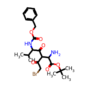 CC(C)C(NC(=O)OCc1ccccc1)C(=O)C(C(=O)CBr)C(N)C(=O)OC(C)(C)C